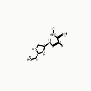 N=C(NCl)/C(F)=C\NC1CS[C@H](CO)O1